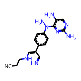 N#CCCN/C=C(\C=N)c1ccc(N(N)c2nc(N)ncc2N)cc1